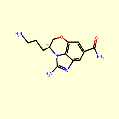 NCCC[C@H]1COc2cc(C(N)=O)cc3nc(N)n1c23